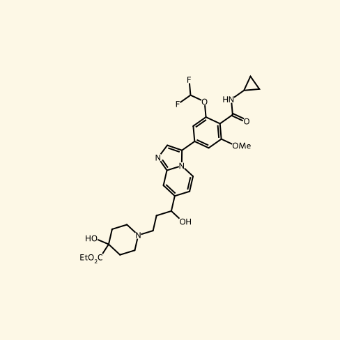 CCOC(=O)C1(O)CCN(CCC(O)c2ccn3c(-c4cc(OC)c(C(=O)NC5CC5)c(OC(F)F)c4)cnc3c2)CC1